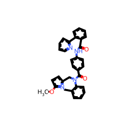 COc1ccc2n1Cc1ccccc1N(C(=O)c1ccc(NC(=O)c3ccccc3-c3ccccn3)cc1)C2